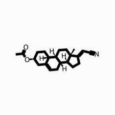 CC(=O)O[C@H]1CC[C@H]2C(=CC[C@@H]3[C@@H]2CC[C@]2(C)/C(=C/C#N)CC[C@@H]32)C1